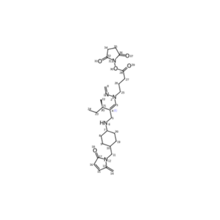 C=NN(/C=C(/CNC1CCC(CN2C(=C)C=CC2=O)CC1)[C@H](C)CC)CCCC(=O)ON1C(=O)CCC1=O